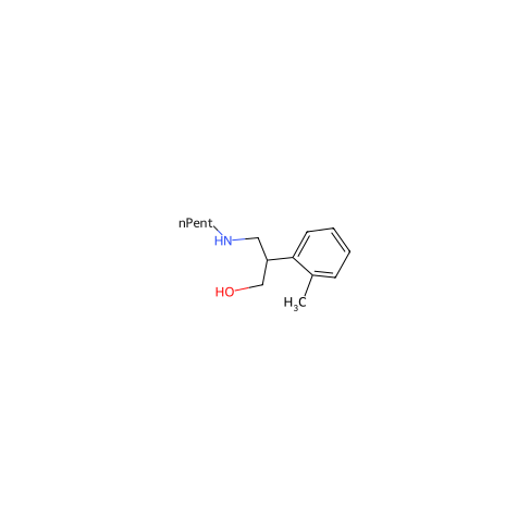 CCCCCNCC(CO)c1ccccc1C